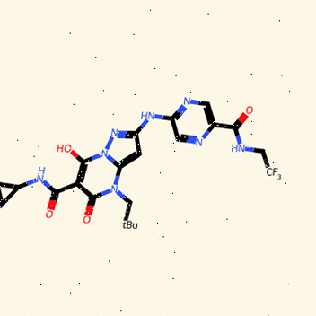 CC(C)(C)Cn1c(=O)c(C(=O)NC2CC2)c(O)n2nc(Nc3cnc(C(=O)NCC(F)(F)F)cn3)cc12